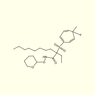 CCCCCCCCC(CC)(C(=O)NOC1CCCCO1)S(=O)(=O)C1=CC=CC(C)(F)C=C1